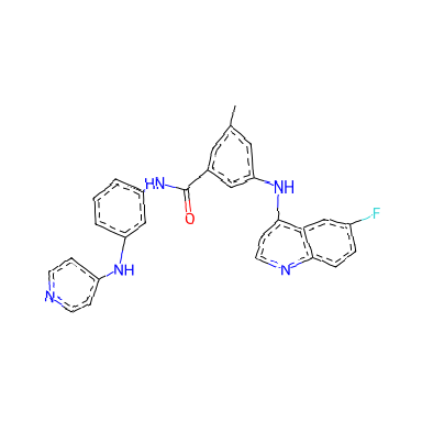 Cc1cc(Nc2ccnc3ccc(F)cc23)cc(C(=O)Nc2cccc(Nc3ccncc3)c2)c1